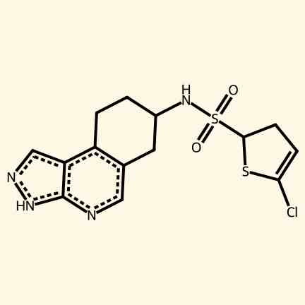 O=S(=O)(NC1CCc2c(cnc3[nH]ncc23)C1)C1CC=C(Cl)S1